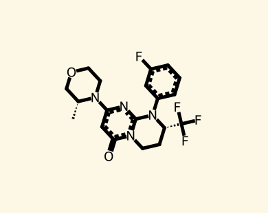 C[C@@H]1COCCN1c1cc(=O)n2c(n1)N(c1cccc(F)c1)[C@H](C(F)(F)F)CC2